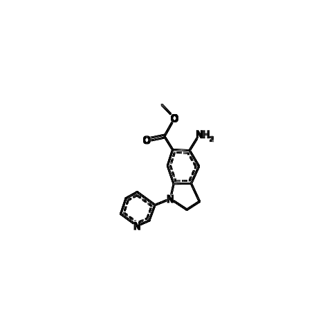 COC(=O)c1cc2c(cc1N)CCN2c1cccnc1